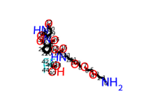 NCCCOCCOCCOCCCNC(=O)COc1cccc2c1C(=O)N(C1CCC(=O)NC1=O)C2=O.O=C(O)C(F)(F)F